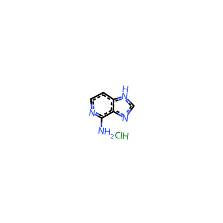 Cl.Nc1nccc2[nH]cnc12